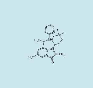 Cc1cc(C(C)Nc2ccccc2)c2c(c1)c(=O)n(C)n2C1CCC(F)(F)CC1